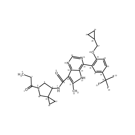 CCC(=O)N1CC(NC(=O)c2c(C)[nH]c3c(-c4cc(C(F)(F)F)ccc4OCC4CC4)ncnc23)C2(CC2)C1